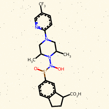 CC1CN(c2ccc(C(F)(F)F)cn2)CC(C)N1N(O)[S+]([O-])c1ccc2c(c1)C(C(=O)O)CC2